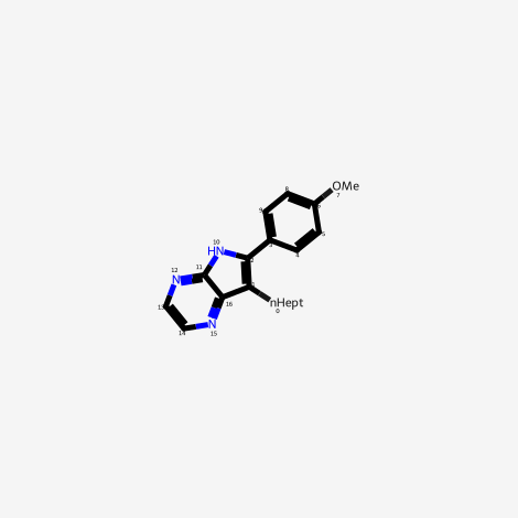 CCCCCCCc1c(-c2ccc(OC)cc2)[nH]c2nccnc12